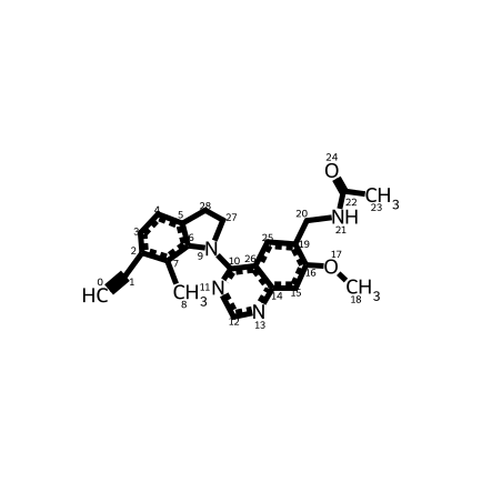 C#Cc1ccc2c(c1C)N(c1ncnc3cc(OC)c(CNC(C)=O)cc13)CC2